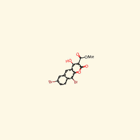 COC(=O)c1c(O)c2cc3cc(Br)ccc3c(Br)c2oc1=O